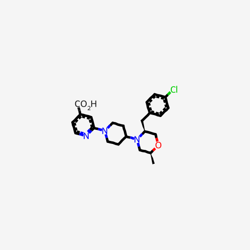 C[C@H]1CN(C2CCN(c3cc(C(=O)O)ccn3)CC2)[C@@H](Cc2ccc(Cl)cc2)CO1